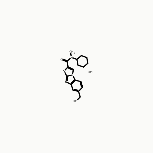 CN(C(=O)c1cn2c(nc3cc(CO)ccc32)s1)C1CCCCC1.Cl